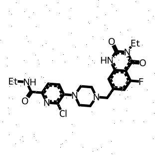 CCNC(=O)c1ccc(N2CCN(Cc3cc(F)c4c(=O)n(CC)c(=O)[nH]c4c3)CC2)c(Cl)n1